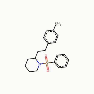 Cc1ccc(CCC2CCCCN2S(=O)(=O)c2ccccc2)cc1